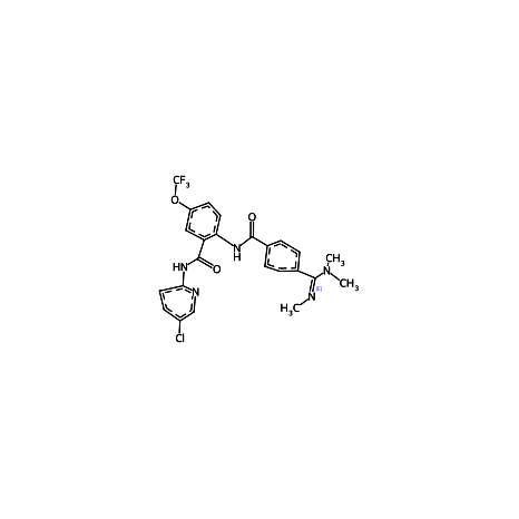 C/N=C(\c1ccc(C(=O)Nc2ccc(OC(F)(F)F)cc2C(=O)Nc2ccc(Cl)cn2)cc1)N(C)C